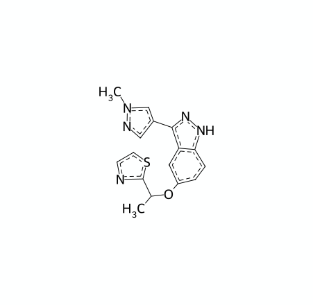 CC(Oc1ccc2[nH]nc(-c3cnn(C)c3)c2c1)c1nccs1